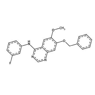 COc1cc2c(Nc3cccc(F)c3)ncnc2cc1OCc1ccccc1